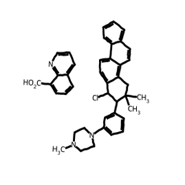 CN1CCN(c2cccc(C3C(Cl)c4ccc5c(ccc6ccccc65)c4CC3(C)C)c2)CC1.O=C(O)c1cccc2cccnc12